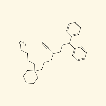 CCCCCC1(CCCC(C#N)CCC(c2ccccc2)c2ccccc2)CCCCC1